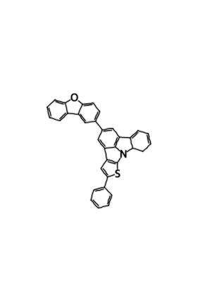 C1=CCC2C(=C1)c1cc(-c3ccc4oc5ccccc5c4c3)cc3c4cc(-c5ccccc5)sc4n2c13